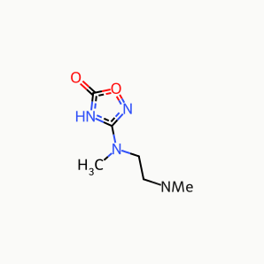 CNCCN(C)c1noc(=O)[nH]1